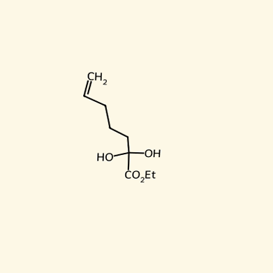 C=CCCCC(O)(O)C(=O)OCC